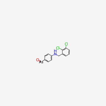 O=[As]c1ccc(NCc2cccc(Cl)c2Cl)cc1